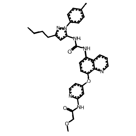 CCCCc1cc(NC(=O)Nc2ccc(Oc3ccnc(NC(=O)COC)c3)c3ncccc23)n(-c2ccc(C)cc2)n1